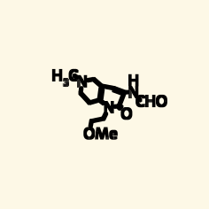 COCCn1c2c(cc(NC=O)c1=O)CN(C)CC2